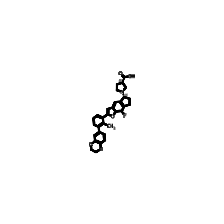 Cc1c(-c2ccc3c(c2)OCCO3)cccc1-c1cc2cc3c(c(F)c2o1)CC[C@H]3N1CC[C@@H](C(=O)O)C1